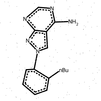 CCCCc1ccccc1-n1cc2c(N)ncnc2n1